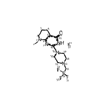 CN1CCCc2c1nc(N1CCN(C[B-](F)(F)F)CC1)[nH]c2=O.[K+]